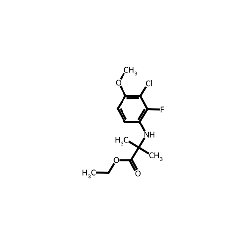 CCOC(=O)C(C)(C)Nc1ccc(OC)c(Cl)c1F